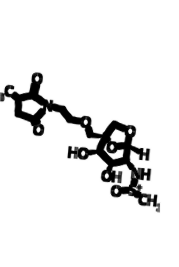 CC1CC(=O)N(CCOC[C@@]23CO[C@@H](O2)[C@@H](N[S+](C)[O-])[C@@H](O)[C@H]3O)C1=O